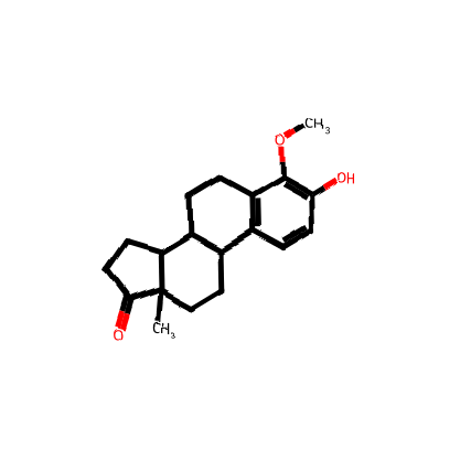 COc1c(O)ccc2c1CCC1C2CCC2(C)C(=O)CCC12